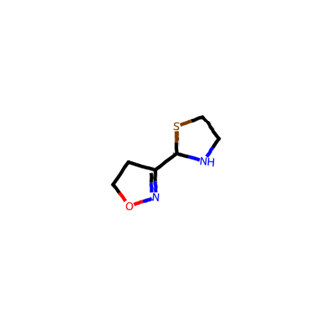 C1CS[C](C2=NOCC2)N1